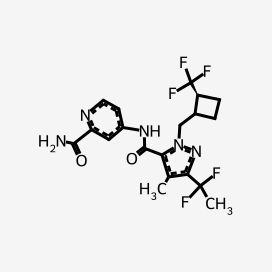 Cc1c(C(C)(F)F)nn(CC2CC[C@@H]2C(F)(F)F)c1C(=O)Nc1ccnc(C(N)=O)c1